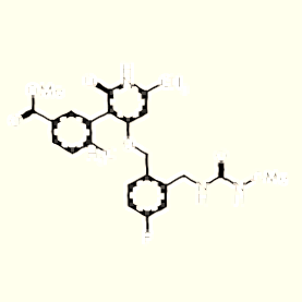 CONC(=O)NCc1cc(F)ccc1COc1cc(C)[nH]c(=O)c1-c1cc(C(=O)OC)ccc1C